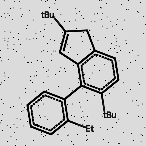 CCc1ccccc1-c1c(C(C)(C)C)ccc2c1C=C(C(C)(C)C)[CH]2